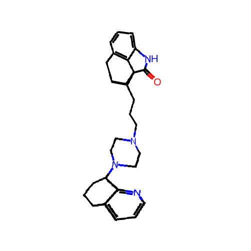 O=C1Nc2cccc3c2C1(CCCCN1CCN(C2CCCc4cccnc42)CC1)CCC3